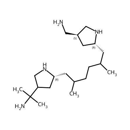 CC(CCC(C)C[C@@H]1C[C@@H](CN)CN1)C[C@@H]1CC(C(C)(C)N)CN1